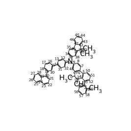 CC[C@H](C)c1c(-c2ccc(N(c3ccc(-c4cccc(-c5cccc6ccccc56)c4)cc3)c3ccc4c(c3)C(C)(C)c3ccccc3-4)cc2)cccc1-c1ccccc1C